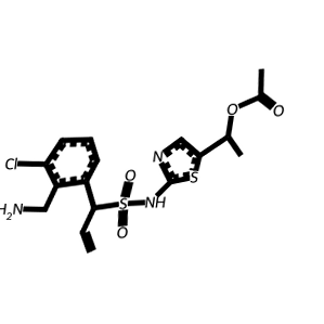 C=CC(c1cccc(Cl)c1CN)S(=O)(=O)Nc1ncc(C(C)OC(C)=O)s1